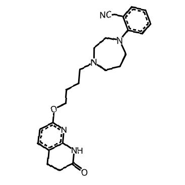 N#Cc1ccccc1N1CCCN(CCCCOc2ccc3c(n2)NC(=O)CC3)CC1